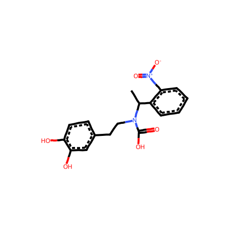 CC(c1ccccc1[N+](=O)[O-])N(CCc1ccc(O)c(O)c1)C(=O)O